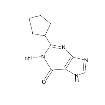 CCCn1c(C2CCCC2)nc2nc[nH]c2c1=O